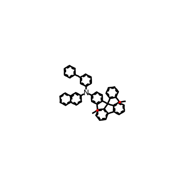 CCc1ccccc1C1(c2ccc(N(c3cccc(-c4ccccc4)c3)c3ccc4ccccc4c3)cc2CC)c2ccccc2-c2ccccc21